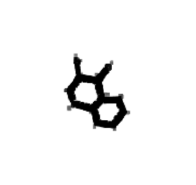 O=c1c(Br)csc2ccccc12